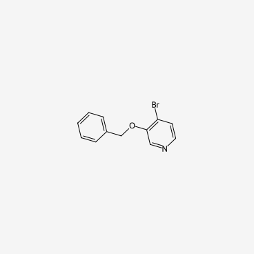 Brc1ccncc1OCc1ccccc1